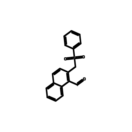 O=[C]c1c(CS(=O)(=O)c2ccccc2)ccc2ccccc12